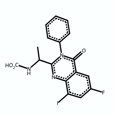 CC(NC(=O)O)c1nc2c(I)cc(F)cc2c(=O)n1-c1ccccc1